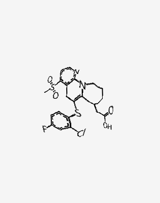 CS(=O)(=O)c1ccnc2c1CC(Sc1ccc(F)cc1Cl)=C1C(CC(=O)O)CCCN12